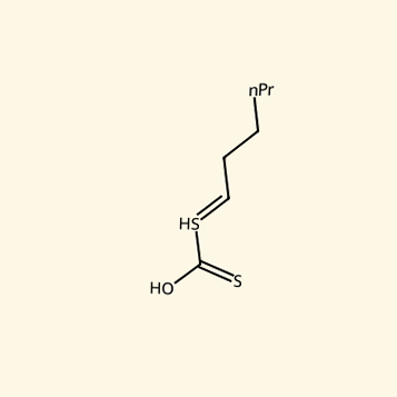 CCCCCC=[SH]C(O)=S